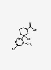 Cc1cc(Cl)cnc1C1(O)CCCN(C(=O)O)C1